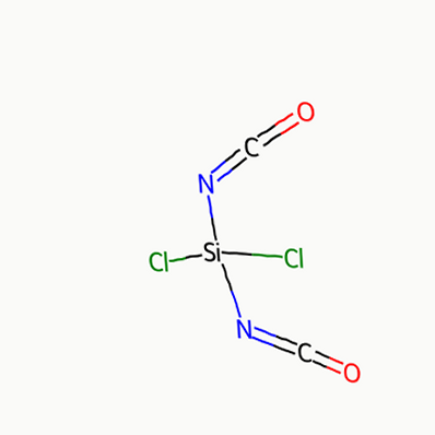 O=C=N[Si](Cl)(Cl)N=C=O